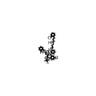 COc1c(OCCCNCCCc2ccccc2Cl)cccc1[C@H]1O[C@H](CC(=O)NCc2ccccc2F)C(=O)N(CC(C)(C)C)c2ccc(Cl)cc21